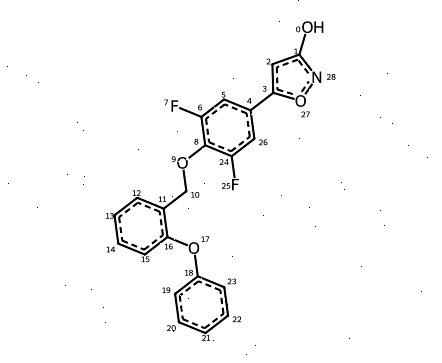 Oc1cc(-c2cc(F)c(OCc3ccccc3Oc3ccccc3)c(F)c2)on1